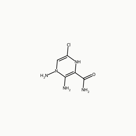 NC(=O)C1=C(N)N(N)C=C(Cl)N1